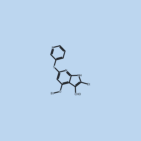 CCOc1cc(Sc2cccnc2)nc2[nH]c(CC)c(C=O)c12